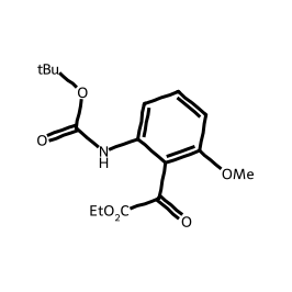 CCOC(=O)C(=O)c1c(NC(=O)OC(C)(C)C)cccc1OC